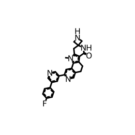 Cn1c2c(c3c1-c1cc(-c4cncc(-c5ccc(F)cc5)c4)ncc1CC3)C(=O)NC1(CNC1)C2